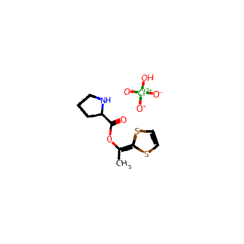 CC(OC(=O)C1CCCN1)=C1SC=CS1.[O-][Cl+3]([O-])([O-])O